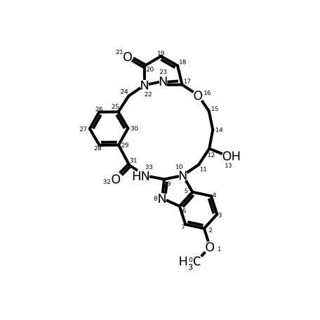 COc1ccc2c(c1)nc1n2CC(O)CCOc2ccc(=O)n(n2)Cc2cccc(c2)C(=O)N1